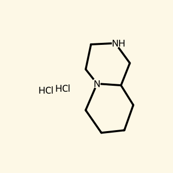 C1CCN2CCNCC2C1.Cl.Cl